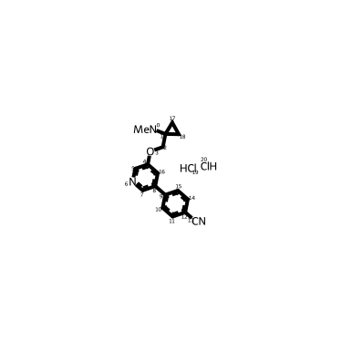 CNC1(COc2cncc(-c3ccc(C#N)cc3)c2)CC1.Cl.Cl